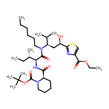 CCCCCCN(C(=O)[C@@H](NC(=O)[C@H]1CCCCN1C(=O)OC(C)(C)C)[C@@H](C)CC)[C@H](C[C@@H](O)c1nc(C(=O)OCC)cs1)C(C)C